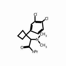 CCCC(=O)C(N(C)C)C1(c2ccc(Cl)c(Cl)c2)CCC1